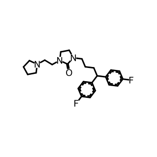 O=C1N(CCCC(c2ccc(F)cc2)c2ccc(F)cc2)CCN1CCN1CCCC1